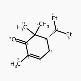 CCC(CC)[C@@H]1CC=C(C)C(=O)C1(C)C